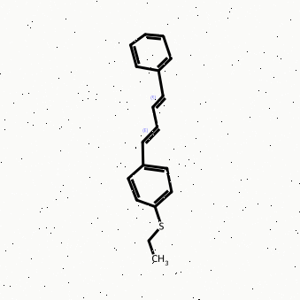 CCSc1ccc(/C=C/C=C/c2ccccc2)cc1